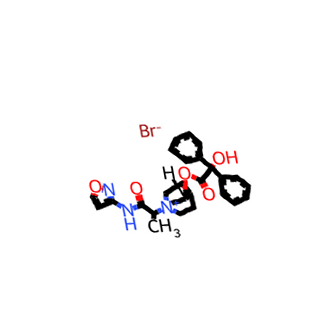 CC(C(=O)Nc1ccon1)[N+]12CCC(CC1)[C@@H](OC(=O)C(O)(c1ccccc1)c1ccccc1)C2.[Br-]